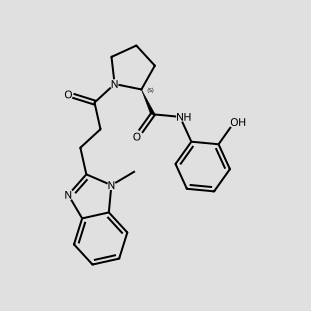 Cn1c(CCC(=O)N2CCC[C@H]2C(=O)Nc2ccccc2O)nc2ccccc21